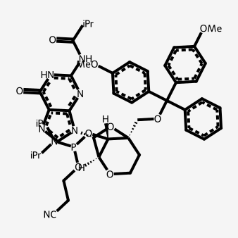 COc1ccc(C(OC[C@@]23CCO[C@@H]([C@H](n4cnc5c(=O)[nH]c(NC(=O)C(C)C)nc54)O2)[C@@H]3OP(OCCC#N)N(C(C)C)C(C)C)(c2ccccc2)c2ccc(OC)cc2)cc1